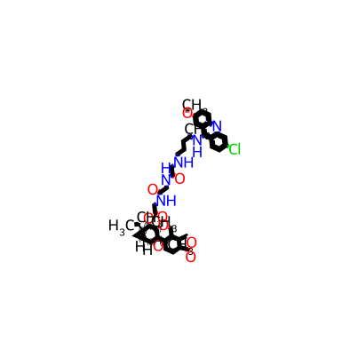 COc1ccc2nc3cc(Cl)ccc3c(NC(C)CCCNCC(=O)NCC(=O)NCC(=O)O[C@@H]3[C@@]4(C(C)C)C[C@H]4[C@@H]4O[C@@]45[C@@]4(C)CCC6C(=O)OCC6C4CO[C@]35C)c2c1